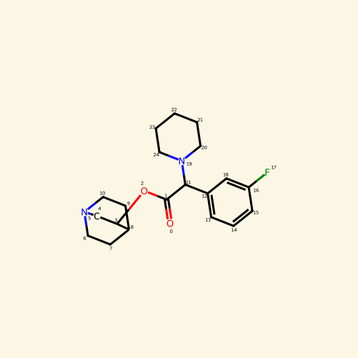 O=C(OC1CN2CCC1CC2)C(c1cccc(F)c1)N1CCCCC1